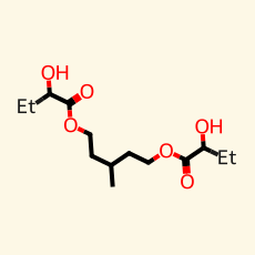 CCC(O)C(=O)OCCC(C)CCOC(=O)C(O)CC